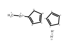 C1=CCC=C1.[CH3][Zr+2][C]1=CC=CC1.[H-].[H-]